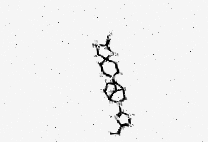 CCc1noc(N2CC3CCCC2CC3N2CCC3(CC2)CNC(=O)O3)n1